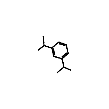 CC(C)c1[c]c[c]c(C(C)C)c1